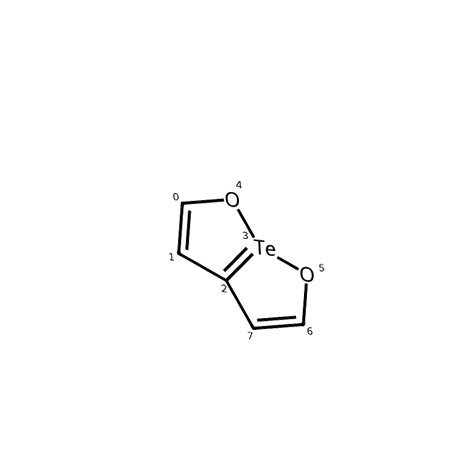 C1=CC2=[Te](O1)OC=C2